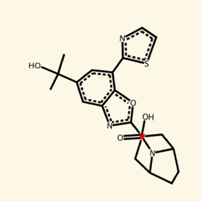 CC(C)(O)c1cc(-c2nccs2)c2oc(N3CC4CCC(C3)N4C(=O)O)nc2c1